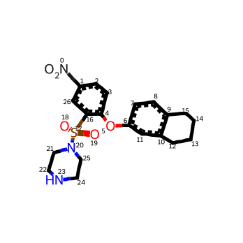 O=[N+]([O-])c1ccc(Oc2ccc3c(c2)CCCC3)c(S(=O)(=O)N2CCNCC2)c1